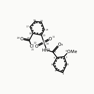 COc1ccccc1C(=O)NS(=O)(=O)c1ccccc1C(=O)Cl